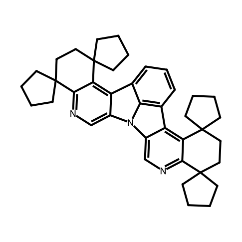 c1cc2c3c4c(ncc3n3c5cnc6c(c5c(c1)c23)C1(CCCC1)CCC61CCCC1)C1(CCCC1)CCC41CCCC1